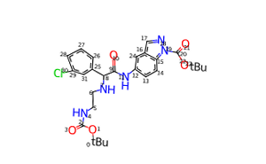 CC(C)(C)OC(=O)NCCNC(C(=O)Nc1ccc2c(cnn2C(=O)OC(C)(C)C)c1)c1cccc(Cl)c1